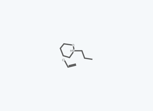 C=CCl.CCC[SiH]1CCCCO1